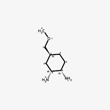 COC[C@H]1CC[C@H](N)[C@H](N)C1